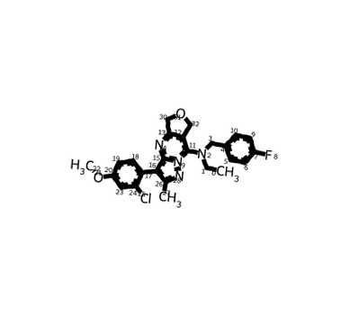 CCN(Cc1ccc(F)cc1)c1c2c(nc3c(-c4ccc(OC)cc4Cl)c(C)nn13)COC2